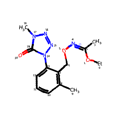 CCO/C(C)=N\OCc1c(C)cccc1-n1nnn(C)c1=O